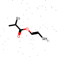 CCC(C)C(=O)OC=C[SiH3]